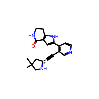 CC1(C)CN[C@@H](C#Cc2cnccc2-c2cc3c([nH]2)CCNC3=O)C1